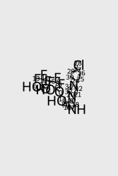 O=C(O)C(F)(F)F.O=C(O)C(F)(F)F.O[C@H]1CNC[C@@H]1N1CCN(c2ccc(Cl)cc2)CC1